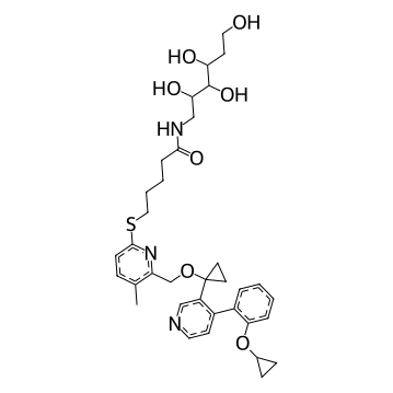 Cc1ccc(SCCCCC(=O)NCC(O)C(O)C(O)CCO)nc1COC1(c2cnccc2-c2ccccc2OC2CC2)CC1